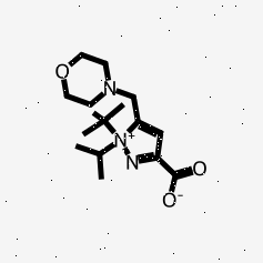 CC(C)[N+]1(C(C)(C)C)N=C(C(=O)[O-])C=C1CN1CCOCC1